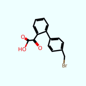 O=C(O)C(=O)c1ccccc1-c1ccc(CBr)cc1